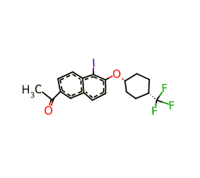 CC(=O)c1ccc2c(I)c(O[C@H]3CC[C@@H](C(F)(F)F)CC3)ccc2c1